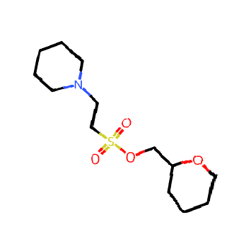 O=S(=O)(CCN1CCCCC1)OCC1CCCCO1